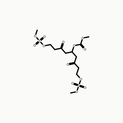 COC(=O)OC(CC(=O)CCOS(=O)(=O)OC)CC(=O)CCOS(=O)(=O)OC